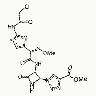 CON=C(C(=O)N[C@@H]1C(=O)N[C@@H]1n1cc(C(=O)OC)nn1)c1csc(NC(=O)CCl)n1